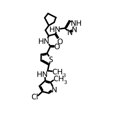 Cc1ncc(Cl)cc1NC(C)c1ccc(C(=O)NC(CC2CCCC2)C(=O)Nc2c[nH]nn2)s1